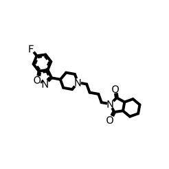 O=C1C2CCCCC2C(=O)N1CCCCN1CCC(c2noc3cc(F)ccc23)CC1